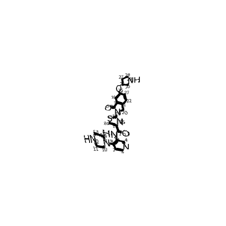 O=C(Nc1cnccc1N1CCNCC1)c1csc(N2Cc3ccc(OC4CCNC4)cc3C2=O)n1